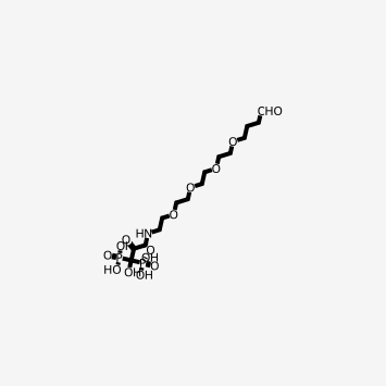 O=CCCCOCCOCCOCCOCCNC(=O)C(=O)C(O)(P(=O)(O)O)P(=O)(O)O